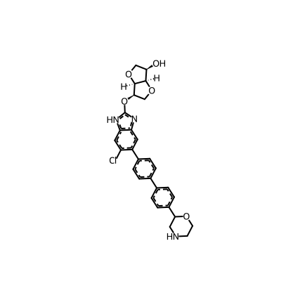 O[C@@H]1CO[C@H]2[C@@H]1OC[C@H]2Oc1nc2cc(-c3ccc(-c4ccc(C5CNCCO5)cc4)cc3)c(Cl)cc2[nH]1